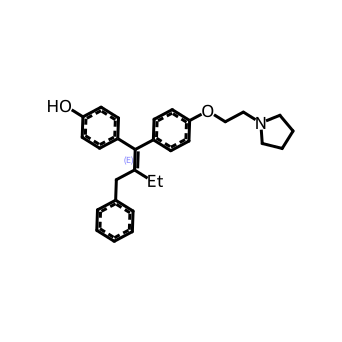 CC/C(Cc1ccccc1)=C(/c1ccc(O)cc1)c1ccc(OCCN2CCCC2)cc1